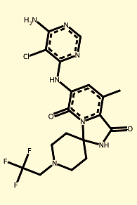 Cc1cc(Nc2ncnc(N)c2Cl)c(=O)n2c1C(=O)NC21CCN(CC(F)(F)F)CC1